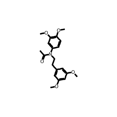 COc1cc(CCN(C(C)=O)c2ccc(OC)c(OC)c2)cc(OC)c1